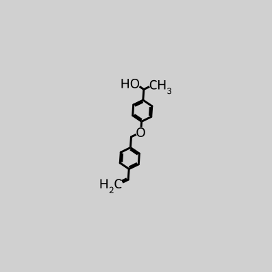 C=Cc1ccc(COc2ccc(C(C)O)cc2)cc1